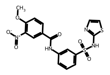 COc1ccc(C(=O)Nc2cccc(S(=O)(=O)Nc3nccs3)c2)cc1[N+](=O)[O-]